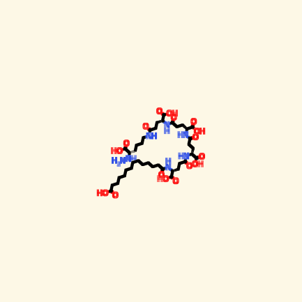 NN[C@@H](CCCCNC(=O)CC[C@H](NC(=O)CC[C@H](NC(=O)CC[C@H](NC(=O)CC[C@H](NC(=O)CCCCCCCCCCCCC(=O)O)C(=O)O)C(=O)O)C(=O)O)C(=O)O)C(=O)O